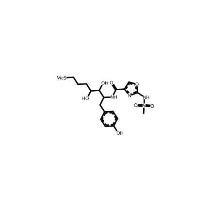 CSCCCC(O)C(O)C(Cc1ccc(O)cc1)NC(=O)c1coc(NS(C)(=O)=O)n1